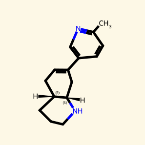 Cc1ccc(C2=CC[C@H]3CCCN[C@H]3C2)cn1